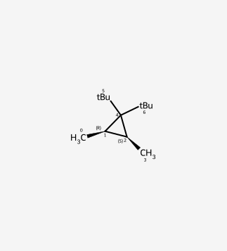 C[C@@H]1[C@H](C)C1(C(C)(C)C)C(C)(C)C